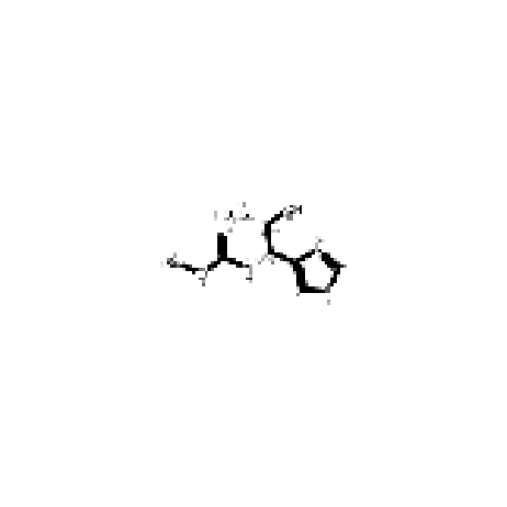 CC(C)(C)OC(=O)N[C@@H](c1cscn1)[C@@H](O)C(=O)O